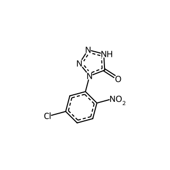 O=c1[nH]nnn1-c1cc(Cl)ccc1[N+](=O)[O-]